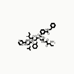 CC[C@H](N)C(=O)C(=O)NC(=O)CN(C(=O)[C@H](CC1CCCCC1)NC(=O)[C@@H](NC(=O)[C@H](CC(C)C)NC(=O)c1cnccn1)[C@@H](C)CC)S(=O)(=O)c1cccc(C(=O)NCc2ccccc2)c1